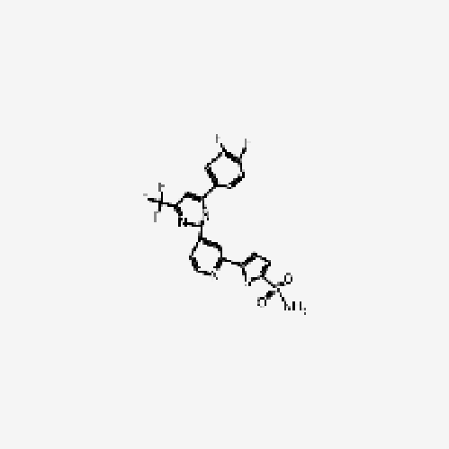 NS(=O)(=O)c1ccc(-c2cc(-c3nc(-c4ccc(F)c(F)c4)cc(C(F)(F)F)n3)ccn2)s1